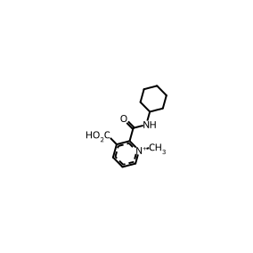 C[n+]1cccc(C(=O)O)c1C(=O)NC1CCCCC1